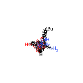 CCCCc1ccc(-c2ccc(C(=O)NCCC(=O)N[C@@H](CCCCN)C(=O)N[C@H](C(=O)N[C@@H](C)C(=O)N[C@@H](Cc3ccc(O)cc3)C(=O)N[C@@H](C)B3OC4C[C@@H]5C[C@@H](C5(C)C)[C@]4(C)O3)C(C)O)cc2)cc1